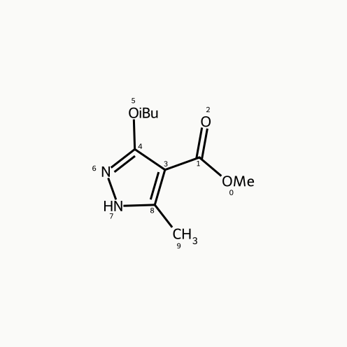 COC(=O)c1c(OCC(C)C)n[nH]c1C